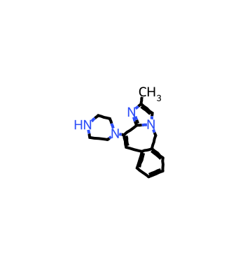 Cc1cn2c(n1)C(N1CCNCC1)=Cc1ccccc1C2